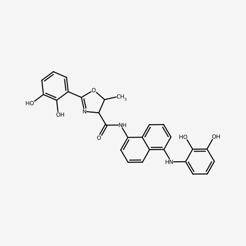 CC1OC(c2cccc(O)c2O)=NC1C(=O)Nc1cccc2c(Nc3cccc(O)c3O)cccc12